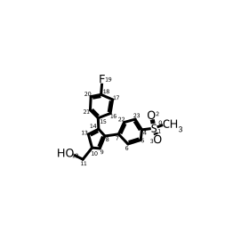 CS(=O)(=O)c1ccc(C2=CC(CO)C=C2c2ccc(F)cc2)cc1